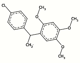 [CH2]C(c1ccc(Cl)cc1)c1cc(OC)c(OC)cc1OC